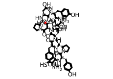 CC(C)[C@H](NC(=O)[C@H](CC(=O)O)NC(=O)[C@H](Cc1ccc(O)cc1)NC(=O)[C@@H]1CCCN1C(=O)[C@H](Cc1ccc(O)cc1)NC(=O)[C@@H](N)CS)C(=O)N1CCC[C@H]1C(=O)N[C@@H](CC(=O)O)C(=O)N[C@@H](Cc1ccc(O)cc1)C(=O)N[C@@H](C)C(=O)O